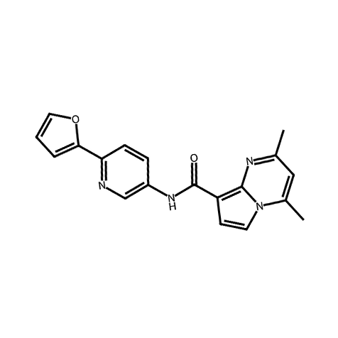 Cc1cc(C)n2ccc(C(=O)Nc3ccc(-c4ccco4)nc3)c2n1